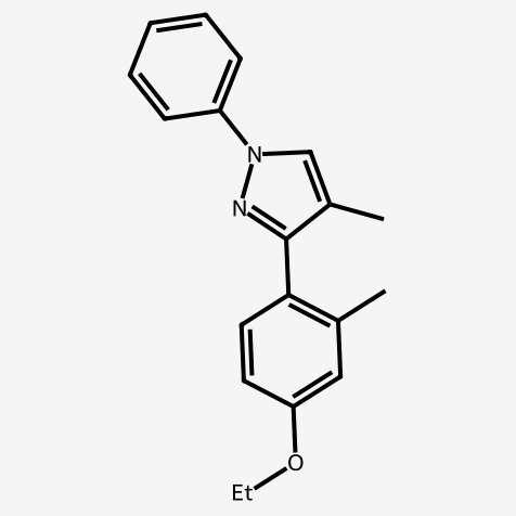 CCOc1ccc(-c2nn(-c3ccccc3)cc2C)c(C)c1